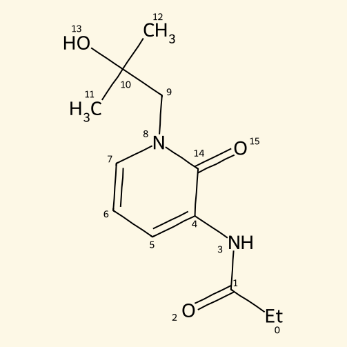 CCC(=O)Nc1cccn(CC(C)(C)O)c1=O